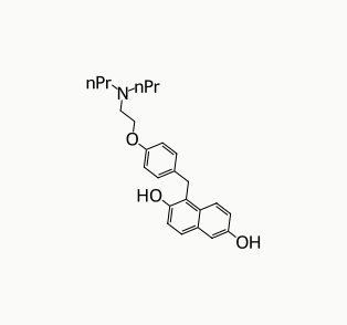 CCCN(CCC)CCOc1ccc(Cc2c(O)ccc3cc(O)ccc23)cc1